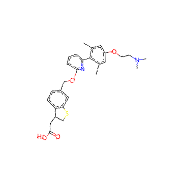 Cc1cc(OCCN(C)C)cc(C)c1-c1cccc(OCc2ccc3c(c2)SCC3CC(=O)O)n1